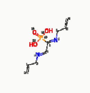 C=CCN=CC(=NCC=C)P(=O)(O)O